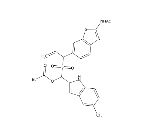 C=CC(c1ccc2nc(NC(C)=O)sc2c1)S(=O)(=O)C(OC(=O)CC)c1cc2cc(C(F)(F)F)ccc2[nH]1